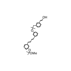 COC(C)(C)Oc1cccc(C=CC=Cc2cccc(OC(C)(C)Cc3cccc(C=CO)c3)c2)c1